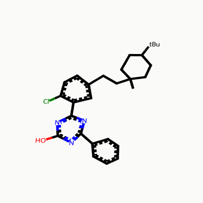 CC1(CCc2ccc(Cl)c(-c3nc(O)nc(-c4ccccc4)n3)c2)CCC(C(C)(C)C)CC1